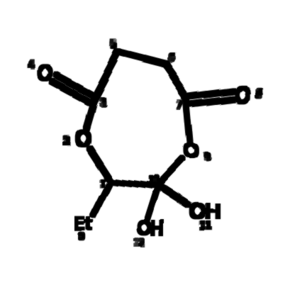 CCC1OC(=O)CCC(=O)OC1(O)O